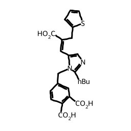 CCCCc1ncc(/C=C(\Cc2cccs2)C(=O)O)n1Cc1ccc(C(=O)O)c(C(=O)O)c1